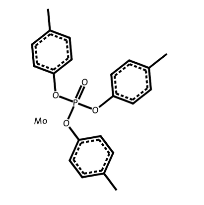 Cc1ccc(OP(=O)(Oc2ccc(C)cc2)Oc2ccc(C)cc2)cc1.[Mo]